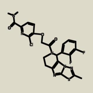 Cc1nn2c3c(nc2s1)CCN(C(=O)COc1ccc(C(=O)N(C)C)nc1Cl)C3c1cccc(F)c1F